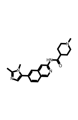 Cc1ncc(-c2ccc3cnc(NC(=O)C4CCN(C)CC4)cc3c2)n1C